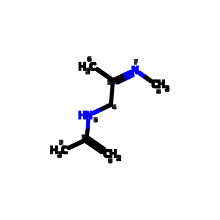 C=C(C)NC/C(C)=N\C